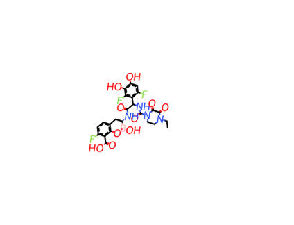 CCN1CCN(C(=O)NC(C(=O)N[C@H]2Cc3ccc(F)c(C(=O)O)c3OB2O)c2c(F)cc(O)c(O)c2F)C(=O)C1=O